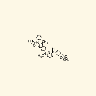 CN(c1ccc2c(c1)nc(N(C(N)=O)c1ccccc1)n2C)c1ccnc(Nc2ccc(CS(C)(=O)=O)cc2)n1